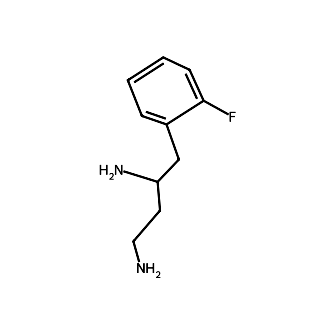 NCCC(N)Cc1ccccc1F